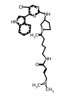 C=C(CCCCNC(=O)/C=C/CN(C)C)N1CCC(Nc2ncc(Cl)c(-c3c[nH]c4ccccc34)n2)C1